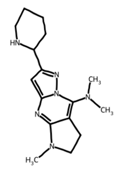 CN(C)c1c2c(nc3cc(C4CCCCN4)nn13)N(C)CC2